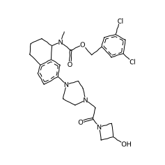 CN(C(=O)OCc1cc(Cl)cc(Cl)c1)C1CCCc2ccc(N3CCN(CC(=O)N4CC(O)C4)CC3)cc21